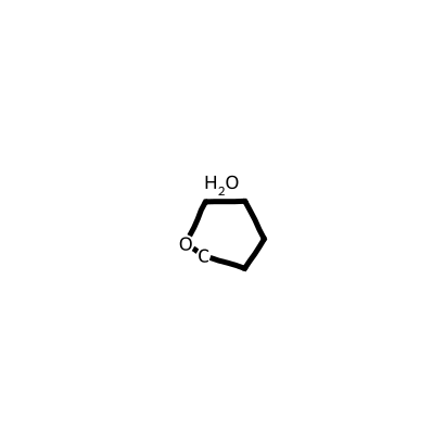 C1CCOCC1.O